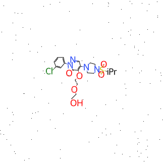 CC(C)S(=O)(=O)N1CCN(c2cnn(-c3cccc(Cl)c3)c(=O)c2OCCOCCO)CC1